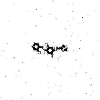 Fc1cc(NCc2ccccc2Cl)c(Cl)cc1SNc1cscn1